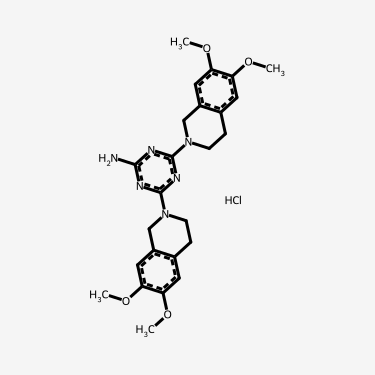 COc1cc2c(cc1OC)CN(c1nc(N)nc(N3CCc4cc(OC)c(OC)cc4C3)n1)CC2.Cl